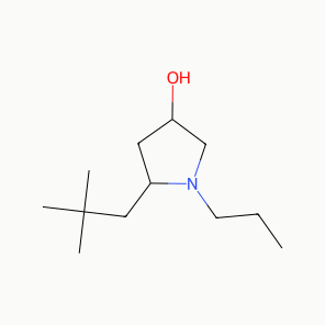 CCCN1CC(O)CC1CC(C)(C)C